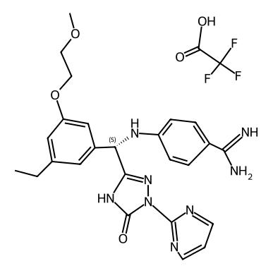 CCc1cc(OCCOC)cc([C@H](Nc2ccc(C(=N)N)cc2)c2nn(-c3ncccn3)c(=O)[nH]2)c1.O=C(O)C(F)(F)F